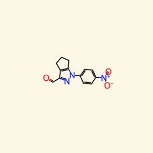 O=Cc1nn(-c2ccc([N+](=O)[O-])cc2)c2c1CCC2